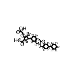 CC(=O)N(Cc1ccc(-c2ccccc2)cc1)Cc1cccc(-c2sc(C(=O)O)c(OCC(=O)O)c2Br)c1